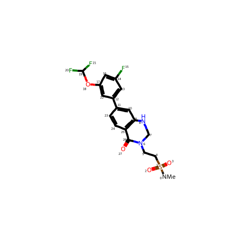 CNS(=O)(=O)CCN1CNc2cc(-c3cc(F)cc(OC(F)F)c3)ccc2C1=O